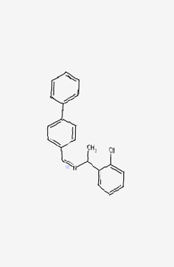 CC(/N=C\c1ccc(-c2ccccc2)cc1)c1ccccc1Cl